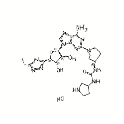 CCn1nnc([C@H]2O[C@@H](n3cnc4c(N)nc(N5CC[C@@H](NC(=O)NC6CCNC6)C5)nc43)[C@@H](O)[C@@H]2O)n1.Cl